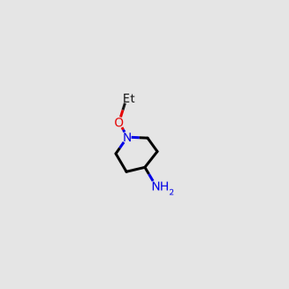 CCON1CCC(N)CC1